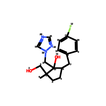 CC1(CO)CCC(Cc2ccc(F)cc2)C1(O)Cn1cncn1